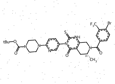 C[C@@H]1Cc2c([nH]c(=S)n(-c3ccc(N4CCN(C(=O)OC(C)(C)C)CC4)nc3)c2=O)CN1C(=O)c1ccc(Br)c(C(F)(F)F)c1